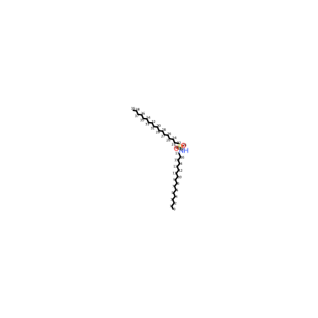 CCCCCCCCCCCCCCCCCCNS(=O)(=O)CCCCCCCCCCCCCCCCCC